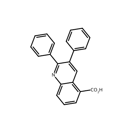 O=C(O)c1cccc2nc(-c3ccccc3)c(-c3ccccc3)cc12